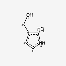 Cl.OCc1cc[nH]c1